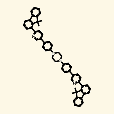 CC1(C)c2ccccc2-c2cccc(-c3ccc(-c4ccc(N5CCN(c6ccc(-c7ccc(-c8cccc9c8C(C)(C)c8ccccc8-9)nc7)cc6)CC5)cc4)cn3)c21